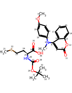 COc1ccc(N(C)c2cc(=O)oc3ccccc23)cc1.CSCC[C@H](NC(=O)OC(C)(C)C)C(=O)O